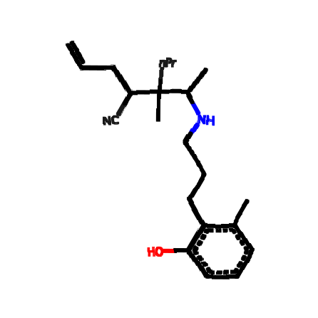 C=CCC(C#N)C(C)(CCC)C(C)NCCCc1c(C)cccc1O